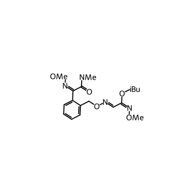 CCC(C)OC(/C=N/OCc1ccccc1/C(=N/OC)C(=O)NC)=N/OC